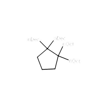 CCCCCCCCCCC1(CCCCCCCCCC)CCCC1(CCCCCCCC)CCCCCCCC